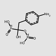 Nc1ccc(CC(O)(O[PH](=O)O)[PH](=O)O)cc1